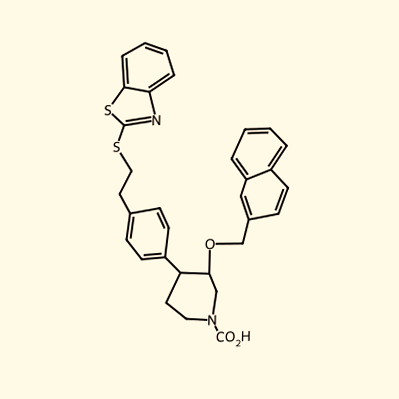 O=C(O)N1CCC(c2ccc(CCSc3nc4ccccc4s3)cc2)C(OCc2ccc3ccccc3c2)C1